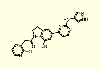 N#Cc1cc(-c2ccnc(Nc3cn[nH]c3)n2)cc2c1N(C(=O)Cc1cccnc1Cl)CC2